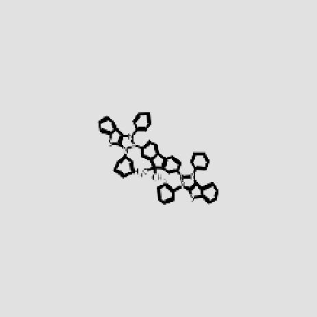 CC1(C)c2cc(B3N(c4ccccc4)c4sc5ccccc5c4N3c3ccccc3)ccc2-c2ccc(B3N(c4ccccc4)c4sc5ccccc5c4N3c3ccccc3)cc21